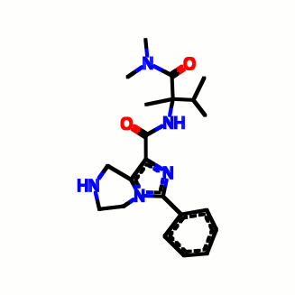 CC(C)C(C)(NC(=O)c1nc(-c2ccccc2)n2c1CNCC2)C(=O)N(C)C